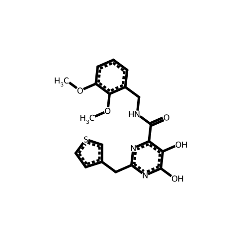 COc1cccc(CNC(=O)c2nc(Cc3ccsc3)nc(O)c2O)c1OC